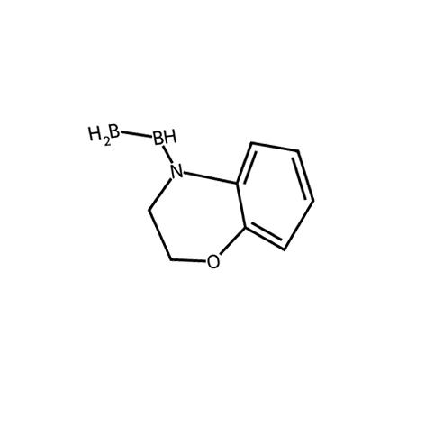 BBN1CCOc2ccccc21